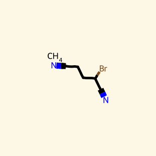 C.N#CCCC(Br)C#N